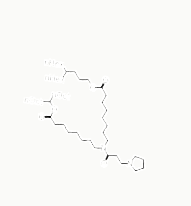 CCCCCCCCC(CCCCCCCC)OC(=O)CCCCCCCN(CCCCCCCC(=O)OCCCC(CCCCCC)CCCCCC)C(=O)CCN1CCCC1